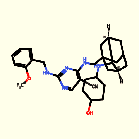 N#Cc1cnc(NCc2ccccc2OC(F)(F)F)nc1NCC12CC3C[C@H](C1)C(NC1CCC(O)CC1)[C@@H](C3)C2